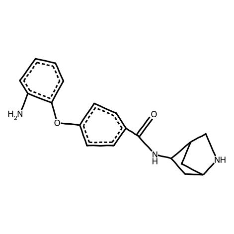 Nc1ccccc1Oc1ccc(C(=O)NC2CC3CC2CN3)cc1